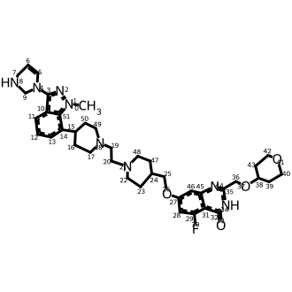 Cn1nc(N2C=CCNC2)c2cccc(C3CCN(CCN4CCC(COc5cc(F)c6c(=O)[nH]c(COC7CCOCC7)nc6c5)CC4)CC3)c21